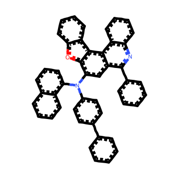 c1ccc(-c2ccc(N(c3cccc4ccccc34)c3cc4c(-c5ccccc5)nc5ccccc5c4c4c3oc3ccccc34)cc2)cc1